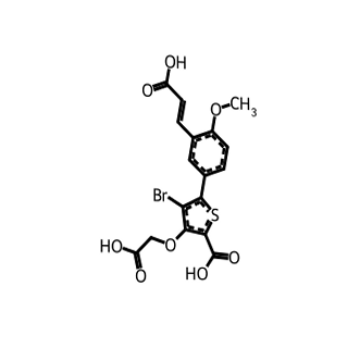 COc1ccc(-c2sc(C(=O)O)c(OCC(=O)O)c2Br)cc1C=CC(=O)O